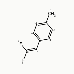 Cc1ccc(C=C(F)F)cc1